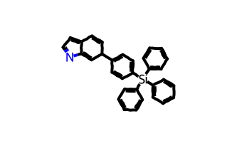 C1=CC(c2ccc([Si](c3ccccc3)(c3ccccc3)c3ccccc3)cc2)C=C2N=CC=C12